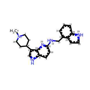 CN1CCC(c2c[nH]c3ccc(NCc4cccc5[nH]ccc45)nc23)CC1